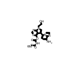 CC(C)(C)OC(=O)NC(=O)Oc1ncnc2c1c(-c1ccc(N)c3nccn13)cn2CCO